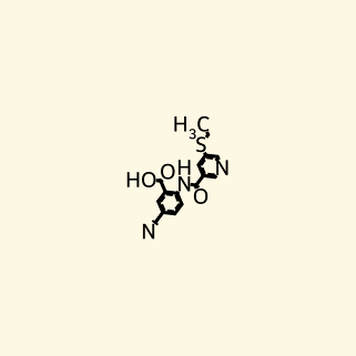 CCSc1cncc(C(=O)Nc2ccc(C#N)cc2C(=O)O)c1